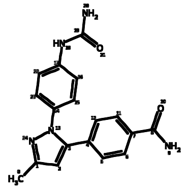 Cc1cc(-c2ccc(C(N)=O)cc2)n(-c2ccc(NC(N)=O)cc2)n1